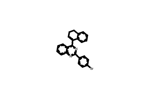 Brc1ccc(-c2nc(C3=CCCc4ccccc43)c3ccccc3n2)cc1